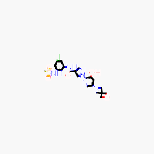 CS(=O)(=O)Nc1cc(Cl)cc(NC(=O)c2cnn(-c3ncc(N4CC5(COC5)C4)cc3O)c2)c1